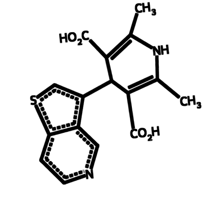 CC1=C(C(=O)O)C(c2csc3ccncc23)C(C(=O)O)=C(C)N1